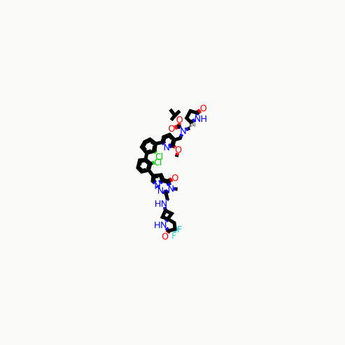 COc1nc(-c2cccc(-c3cccc(-c4cc5c(=O)n(C)c(CNC6CC7(C6)CC(F)(F)C(=O)N7)nn5c4)c3Cl)c2Cl)ccc1CN(C[C@@H]1CCC(=O)N1)C(=O)OC(C)(C)C